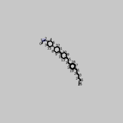 C/C=C\[C@H]1CC[C@H](C2CCC(C3CCC(CCc4ccc(CCCCCF)cc4)CC3)CC2)CC1